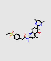 CCS(=O)(=O)c1ccc(CC(=O)Nc2cc(C)c3c(n2)CCC(C)(c2nc(C)cc(C)n2)C3=O)cc1